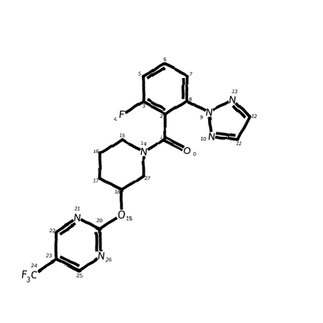 O=C(c1c(F)cccc1-n1nccn1)N1CCCC(Oc2ncc(C(F)(F)F)cn2)C1